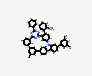 Cc1cc(C)cc(-c2ccc3c4ccc(-c5cc(C)cc(C)c5)cc4n(-c4ccc(-c5ccccc5C(F)(F)F)c(-c5nc(-c6ccccc6)nc(-c6ccccc6)n5)c4)c3c2)c1